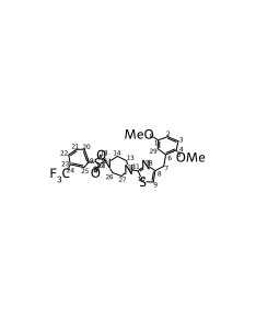 COc1ccc(OC)c(Cc2csc(N3CCN(S(=O)(=O)c4cccc(C(F)(F)F)c4)CC3)n2)c1